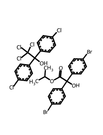 CC(C)OC(=O)C(O)(c1ccc(Br)cc1)c1ccc(Br)cc1.OC(c1ccc(Cl)cc1)(c1ccc(Cl)cc1)C(Cl)(Cl)Cl